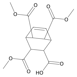 COC(=O)C1C2C=CC(C1C(=O)O)C(C(=O)OC)C2C(=O)OC